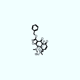 CN(C)[C@H]1c2onc(OCc3ccccc3)c2C(=O)[C@@H]2C(=O)C=C[C@@H](Br)[C@]21O[Si](C)(C)C(C)(C)C